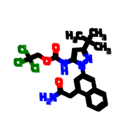 CC(C)(C)c1cc(NC(=O)OCC(Cl)(Cl)Cl)n(-c2cc(CC(N)=O)c3ccccc3c2)n1